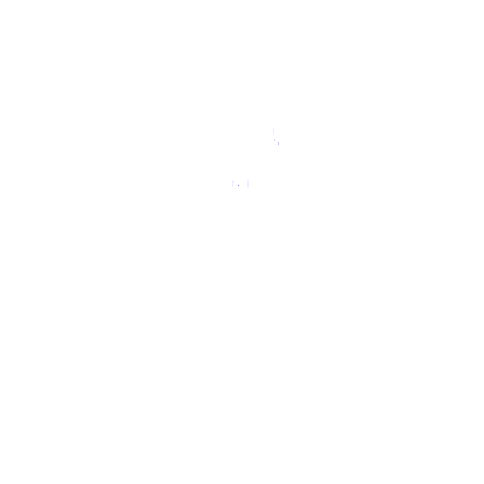 CC1(C)c2cc3ccccc3cc2-c2c(-c3cccc(/C=C/C(NC(N)c4ccccc4)c4cccc5oc6ccccc6c45)c3)cccc21